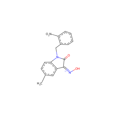 Cc1ccc2c(c1)/C(=N/O)C(=O)N2Cc1ccccc1[N+](=O)[O-]